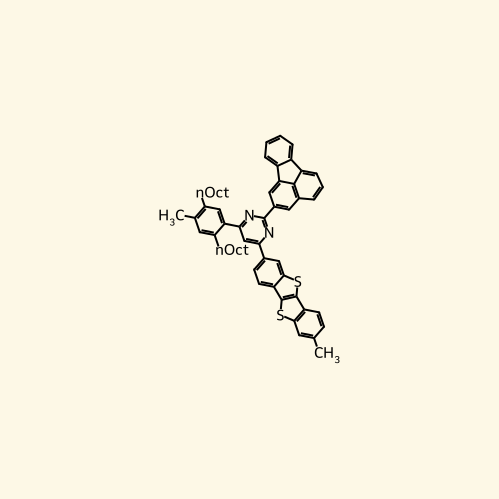 CCCCCCCCc1cc(-c2cc(-c3ccc4c(c3)sc3c5ccc(C)cc5sc43)nc(-c3cc4c5c(cccc5c3)-c3ccccc3-4)n2)c(CCCCCCCC)cc1C